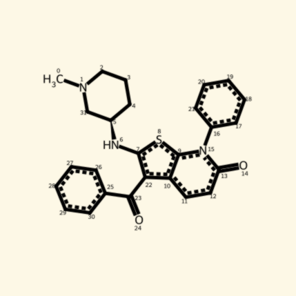 CN1CCC[C@@H](Nc2sc3c(ccc(=O)n3-c3ccccc3)c2C(=O)c2ccccc2)C1